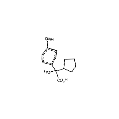 COc1ccc(C(O)(C(=O)O)C2CCCC2)cc1